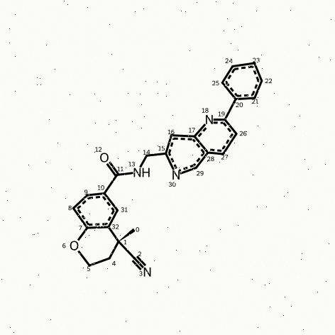 C[C@@]1(C#N)CCOc2ccc(C(=O)NCc3cc4nc(-c5ccccc5)ccc4cn3)cc21